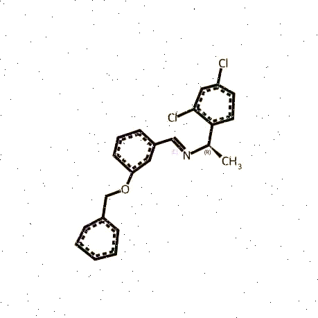 C[C@@H](/N=C/c1cccc(OCc2ccccc2)c1)c1ccc(Cl)cc1Cl